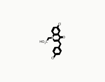 O=C(O)Cn1cc(Cc2ccc(Cl)cc2)c(=O)c2cc(Cl)ccc21